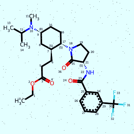 CCOC(=O)CC[C@H]1C[C@H](N(C)C(C)C)CC[C@@H]1N1CC[C@H](NC(=O)c2cccc(C(F)(F)F)c2)C1=O